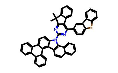 CC1(C)c2ccccc2-c2c(-c3ccc4sc5ccccc5c4c3)nc(-n3c4ccc5c6ccccc6c6ccccc6c5c4c4ccc5ccccc5c43)nc21